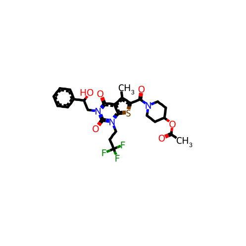 CC(=O)OC1CCN(C(=O)c2sc3c(c2C)c(=O)n(CC(O)c2ccccc2)c(=O)n3CCC(F)(F)F)CC1